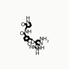 Nc1cc(OCc2cc(C(=O)NCc3ccc[nH]c3=O)ccc2Cl)c2c(n1)NNN2